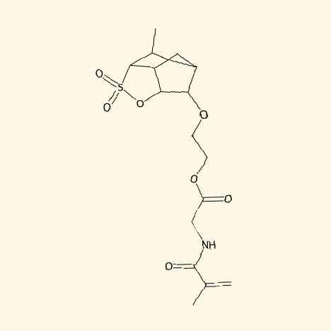 C=C(C)C(=O)NCC(=O)OCCOC1C2CC3C1OS(=O)(=O)C3C2C